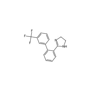 FC(F)(F)c1cccc(-c2ccccc2C2=NCCN2)c1